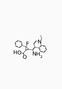 CCN1C=CC(=C(N)C2=C(C(=O)O)C2(F)c2ccccc2)c2ccccc21